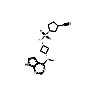 CN(c1ncnc2[nH]ccc12)[C@H]1C[C@@H](NS(=O)(=O)[C@H]2CCC(C#N)C2)C1